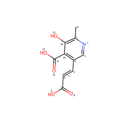 Cc1ncc(/C=C/C(=O)O)c(C(=O)O)c1O